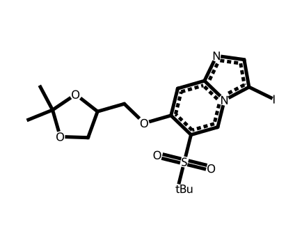 CC1(C)OCC(COc2cc3ncc(I)n3cc2S(=O)(=O)C(C)(C)C)O1